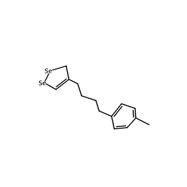 Cc1ccc(CCCCC2=C[Se][Se]C2)cc1